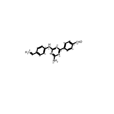 C=Cc1ccc(Nc2nc(N)nc(-c3ccc(C=O)cc3)n2)cc1